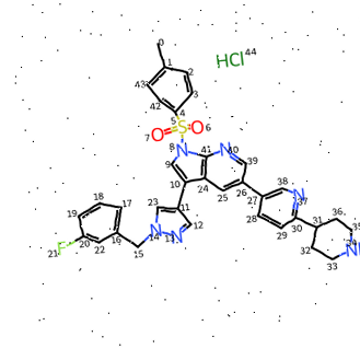 Cc1ccc(S(=O)(=O)n2cc(-c3cnn(Cc4cccc(F)c4)c3)c3cc(-c4ccc(C5CCNCC5)nc4)cnc32)cc1.Cl